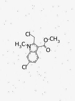 COC(=O)c1c(CCl)n(C)c2cc(Cl)ccc12